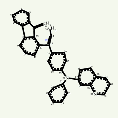 C=C1c2ccccc2-c2cccc(/C(=C\C)c3ccc(N(c4ccccc4)c4ccc5cccnc5c4)cc3)c21